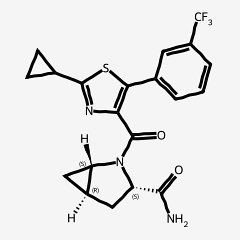 NC(=O)[C@@H]1C[C@H]2C[C@@H]2N1C(=O)c1nc(C2CC2)sc1-c1cccc(C(F)(F)F)c1